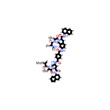 CCNC(C(=O)NC(C(=O)N1Cc2cc(NC(=O)c3ccc(C(=O)NC4CC(C(=O)NC5CCCc6ccccc65)N(C(=O)C(NC(=O)[C@H](C)NC)C(C)(C)C)C4)cc3)ccc2CC1C(=O)NC1CCCc2ccccc21)C(C)(C)C)C(C)C